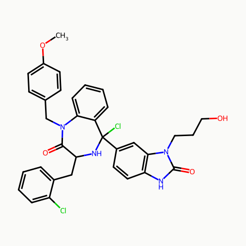 COc1ccc(CN2C(=O)C(Cc3ccccc3Cl)NC(Cl)(c3ccc4[nH]c(=O)n(CCCO)c4c3)c3ccccc32)cc1